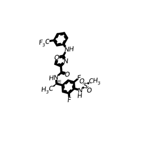 C[C@@H](NC(=O)c1coc(Nc2cccc(C(F)(F)F)c2)n1)c1cc(F)c(NS(C)(=O)=O)c(F)c1